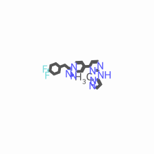 Cn1nccc1Nc1nccc(-c2ccn3c(CC4CCC(F)(F)CC4)nnc3c2)n1